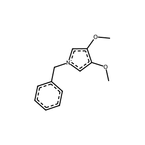 COc1cn(Cc2ccccc2)cc1OC